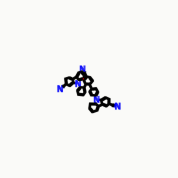 N#Cc1ccc(-c2ccc(-n3c4ccccc4c4cc(C#N)ccc43)cc2)c(-c2ccccc2-n2c3ccccc3c3ccc(C#N)cc32)c1